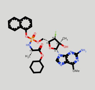 COc1nc(N)nc2c1ncn2[C@@H]1O[C@H](COP(=O)(N[C@@H](C)C(=O)OC2CCCCC2)Oc2cccc3ccccc23)[C@@H](F)[C@@]1(C)O